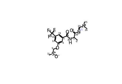 CC(NC(=O)c1cc(OC[S+](C)[O-])cc(C(F)(F)F)c1)C(=O)/N=C/N(C)C